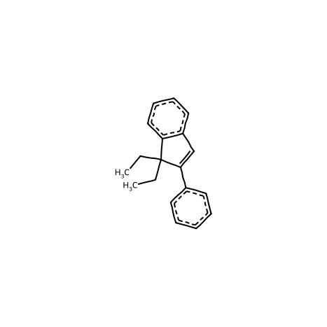 CCC1(CC)C(c2ccccc2)=Cc2ccccc21